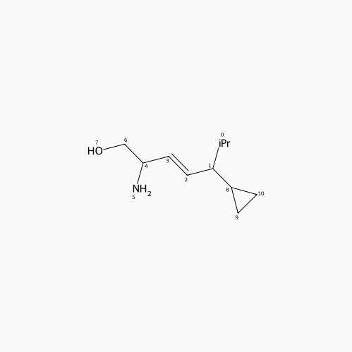 CC(C)C(/C=C/C(N)CO)C1CC1